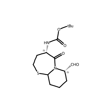 CC(C)(C)OC(=O)N[C@H]1CCSC2CCC[C@@H](C=O)N2C1=O